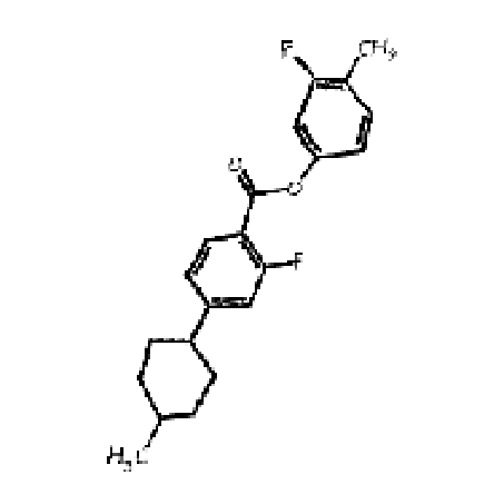 Cc1ccc(OC(=O)c2ccc(C3CCC(C)CC3)cc2F)cc1F